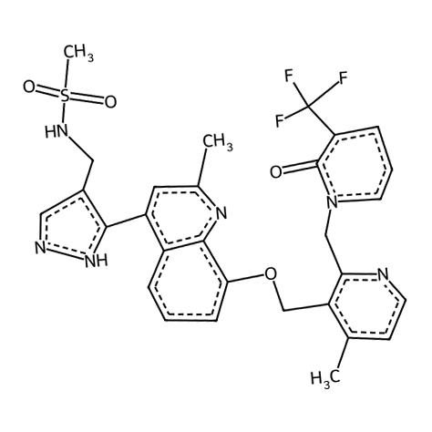 Cc1cc(-c2[nH]ncc2CNS(C)(=O)=O)c2cccc(OCc3c(C)ccnc3Cn3cccc(C(F)(F)F)c3=O)c2n1